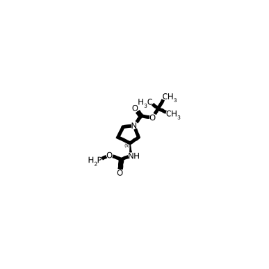 CC(C)(C)OC(=O)N1CC[C@H](NC(=O)OP)C1